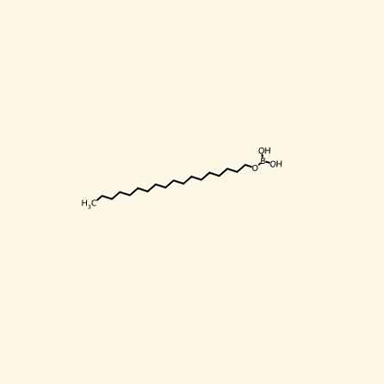 CCCCCCCCCCCCCCCCCCOB(O)O